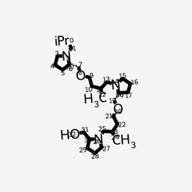 CC(C)CN1CCC[C@H]1COCCC(C)CN1CCC[C@@H]1COCCC(C)CN1CCCC1CO